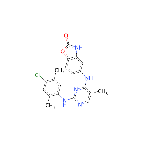 Cc1cc(Nc2ncc(C)c(Nc3ccc4oc(=O)[nH]c4c3)n2)c(C)cc1Cl